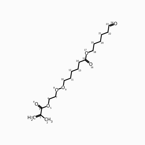 C=C(C)C(=O)OCCOOCCCCCC(=O)OCCCCCC=O